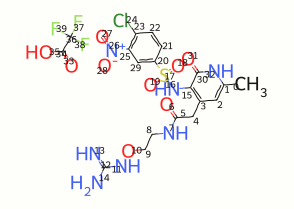 Cc1cc(CC(=O)NCCONC(=N)N)c(NS(=O)(=O)c2ccc(Cl)c([N+](=O)[O-])c2)c(=O)[nH]1.O=C(O)C(F)(F)F